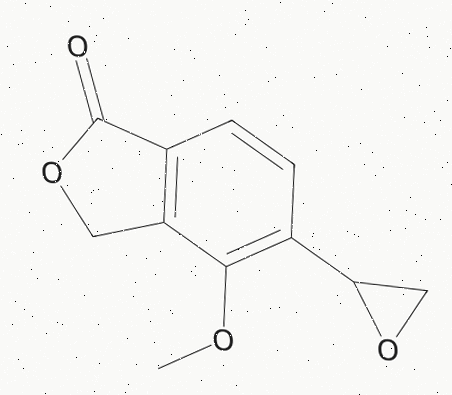 COc1c(C2CO2)ccc2c1COC2=O